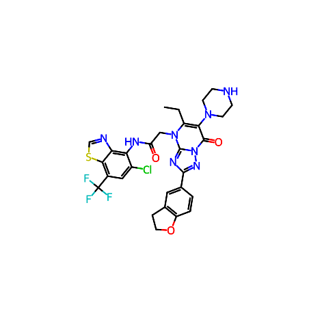 CCc1c(N2CCNCC2)c(=O)n2nc(-c3ccc4c(c3)CCO4)nc2n1CC(=O)Nc1c(Cl)cc(C(F)(F)F)c2scnc12